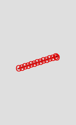 C=C(C)C(=O)OCCCCOCCCCOCCCCOCCCCOCCCCOCCCCOCCCCOCCCCOCCCCOCCCCOCCCCOCCCCOCC